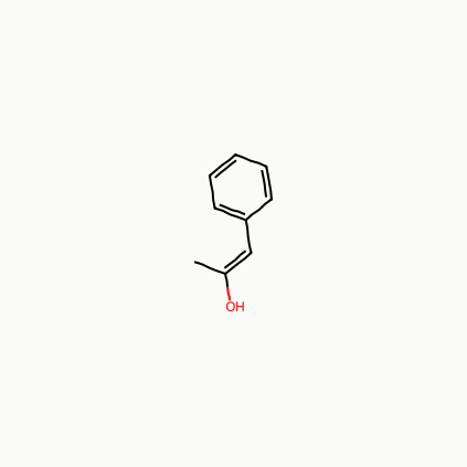 C/C(O)=C\c1ccccc1